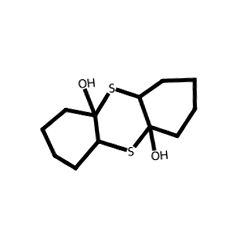 OC12CCCCC1SC1(O)CCCCC1S2